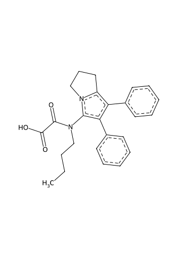 CCCCN(C(=O)C(=O)O)c1c(-c2ccccc2)c(-c2ccccc2)c2n1CCC2